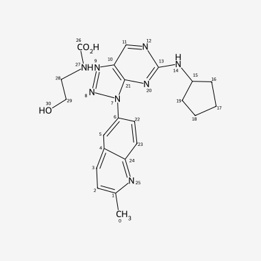 Cc1ccc2cc(-n3nnc4cnc(NC5CCCC5)nc43)ccc2n1.O=C(O)NCCO